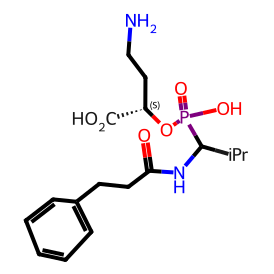 CC(C)C(NC(=O)CCc1ccccc1)P(=O)(O)O[C@@H](CCN)C(=O)O